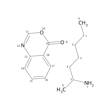 CCCCCC(C)N.O=c1ocnc2ccccc12